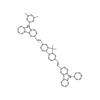 Cc1cc(C)cc(-n2c3ccccc3c3cc(/C=C/c4ccc5c(c4)C(C)(C)c4cc(/C=C/c6ccc7c(c6)c6ccccc6n7-c6ccccc6)ccc4-5)ccc32)c1